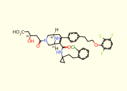 O=C(O)C[C@H](O)CC(=O)N1C[C@H]2CC(c3ccc(CCCOc4c(F)ccc(F)c4F)cc3)=C(C(=O)NC3(CCc4ccccc4Cl)CC3)[C@@H](C1)N2